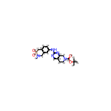 CN1Cc2cc(Nc3ncc4c(n3)CN(C(=O)OC(C)(C)C)CC4)ccc2CS1(=O)=O